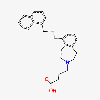 O=C(O)CCCN1CCc2cccc(CCCc3cccc4ccccc34)c2CC1